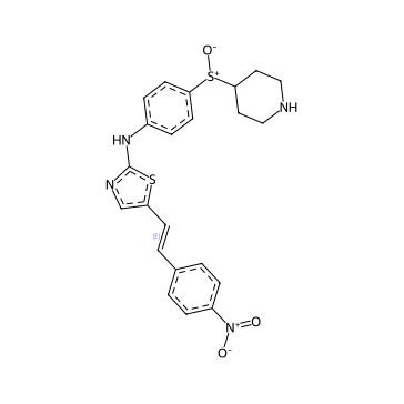 O=[N+]([O-])c1ccc(/C=C/c2cnc(Nc3ccc([S+]([O-])C4CCNCC4)cc3)s2)cc1